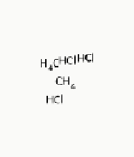 C.C.Cl.Cl.Cl